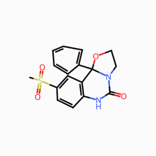 CS(=O)(=O)c1ccc2c(c1)C1(c3ccccc3)OCCN1C(=O)N2